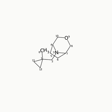 CC1(CN2C3CCC2COC3)CC1